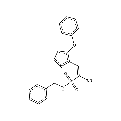 N#C/C(=C/c1sccc1Oc1ccccc1)S(=O)(=O)NCc1ccccc1